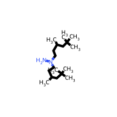 CC(CCN(N)CCC(C)CC(C)(C)C)CC(C)(C)C